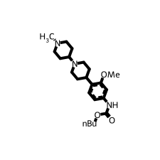 CCCCOC(=O)Nc1ccc(C2CCN(C3CCN(C)CC3)CC2)c(OC)c1